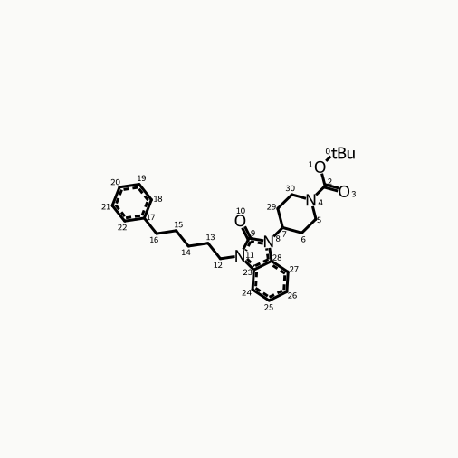 CC(C)(C)OC(=O)N1CCC(n2c(=O)n(CCCCCc3ccccc3)c3ccccc32)CC1